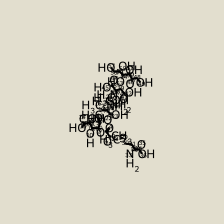 CC(=O)C(=O)O[C@H](C=O)[C@@H](O)[C@H](O)[C@@H](C)O.CC(C)[C@H](N)C(=O)O.CN.CO.CSCC[C@H](N)C(=O)O.N[C@@H](CC(=O)O)C(=O)O.O=C(CO)[C@H](O)[C@@H](O)[C@H](O)CO